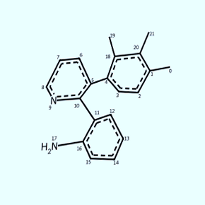 Cc1ccc(-c2cccnc2-c2ccccc2N)c(C)c1C